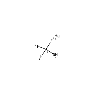 FC(F)(F)S.[Hg]